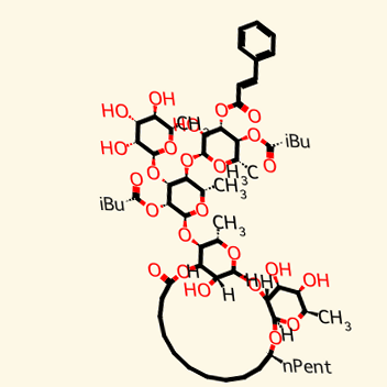 CCCCC[C@H]1CCCCCCCCCC(=O)O[C@H]2[C@@H](O)[C@H](O[C@H]3[C@H](O1)O[C@H](C)[C@H](O)[C@@H]3O)O[C@@H](C)[C@@H]2O[C@@H]1O[C@@H](C)[C@H](O[C@@H]2O[C@@H](C)[C@H](OC(=O)[C@@H](C)CC)[C@@H](OC(=O)/C=C/c3ccccc3)[C@H]2O)[C@@H](O[C@@H]2O[C@@H](C)[C@H](O)[C@@H](O)[C@H]2O)[C@H]1OC(=O)[C@@H](C)CC